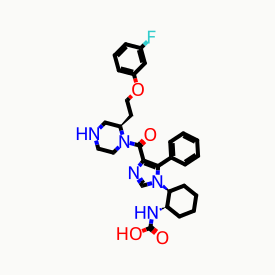 O=C(O)N[C@H]1CCCC[C@@H]1n1cnc(C(=O)N2CCNC[C@H]2CCOc2cccc(F)c2)c1-c1ccccc1